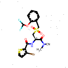 CN(C#N)C(=O)[C@H](CS(=O)(=O)Cc1ccccc1OC(F)F)NC(=O)c1sccc1Br